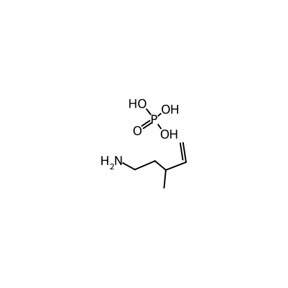 C=CC(C)CCN.O=P(O)(O)O